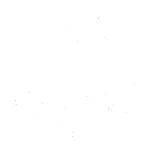 COc1ncc(-c2nn(-c3cnn(CC4CCNCC4)c3)c3c2CCOCN3)cc1F